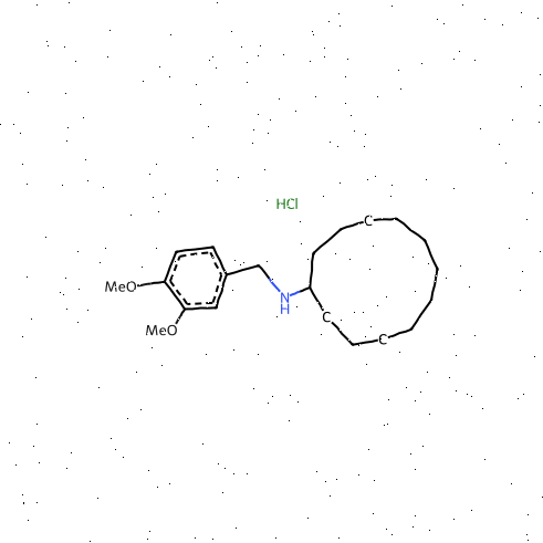 COc1ccc(CNC2CCCCCCCCCCC2)cc1OC.Cl